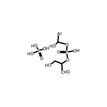 CC(=O)C(O)OP(=O)(O)OC(C=O)CO.O=P(O)(O)O